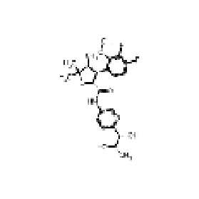 COc1c([C@H]2[C@H](C(=O)Nc3ccc([C@H](O)[C@H](C)O)nc3)OC(C)(C)[C@H]2C)ccc(F)c1F